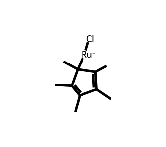 CC1=C(C)[C](C)([Ru-][Cl])C(C)=C1C